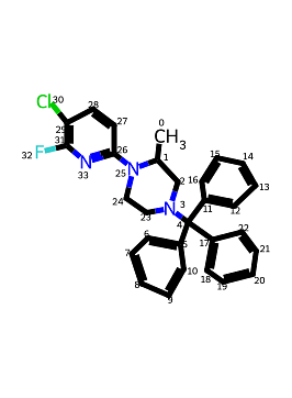 CC1CN(C(c2ccccc2)(c2ccccc2)c2ccccc2)CCN1c1ccc(Cl)c(F)n1